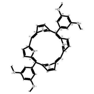 COc1cc(OC)cc(C2=C3C=CC(=N3)C=C3C=CC(=N3)C(c3cc(OC)cc(OC)c3)=C3C=CC(=N3)C=C3C=CC2=N3)c1